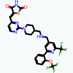 O=C1NC(=O)C(=Cc2ccnc(N3CCC(CNCc4cc(-c5ccccc5OC(F)(F)F)nc(C(F)(F)F)c4)CC3)n2)S1